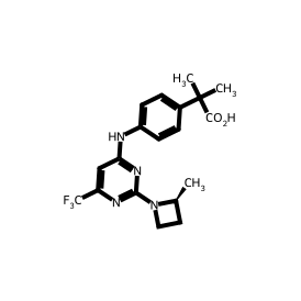 C[C@H]1CCN1c1nc(Nc2ccc(C(C)(C)C(=O)O)cc2)cc(C(F)(F)F)n1